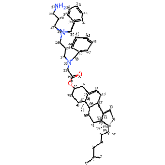 CC(C)CCC[C@@H](C)[C@H]1CCC2C3CC=C4CC(OC(=O)CN(CCCN(CCCN)Cc5ccccc5)Cc5ccccc5)CC[C@]4(C)C3CC[C@@]21C